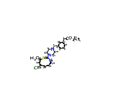 CCOC(=O)Cc1cccc(CN2CCN(c3ncccc(Cl)cc(C)s3)CC2)c1